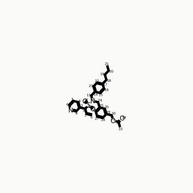 C=CC(c1cccnc1)S(=O)(=O)N(Cc1ccc(CCCC)cc1)Cc1cccc(COC(C)=O)c1